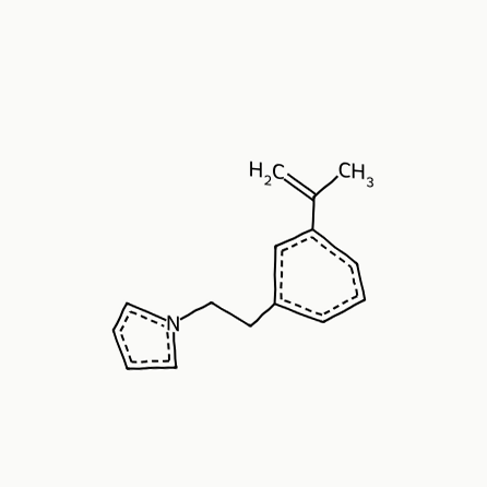 C=C(C)c1cccc(CCn2cccc2)c1